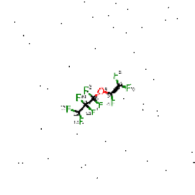 FC(F)=C(F)OC(F)(F)C(F)(F)C(F)F